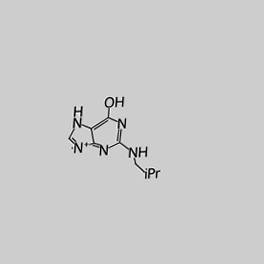 CC(C)CNc1nc(O)c2c(n1)[N+]=CN2